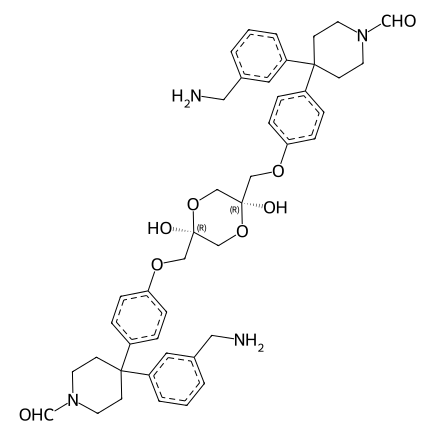 NCc1cccc(C2(c3ccc(OC[C@]4(O)CO[C@](O)(COc5ccc(C6(c7cccc(CN)c7)CCN(C=O)CC6)cc5)CO4)cc3)CCN(C=O)CC2)c1